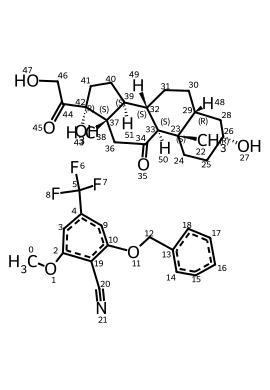 COc1cc(C(F)(F)F)cc(OCc2ccccc2)c1C#N.C[C@]12CC[C@@H](O)C[C@H]1CC[C@@H]1[C@@H]2C(=O)C[C@@]2(C)[C@H]1CC[C@]2(O)C(=O)CO